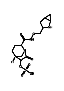 O=C(NOCC1CC2CC2N1)[C@@H]1CC[C@@H]2CN1C(=O)N2OS(=O)(=O)O